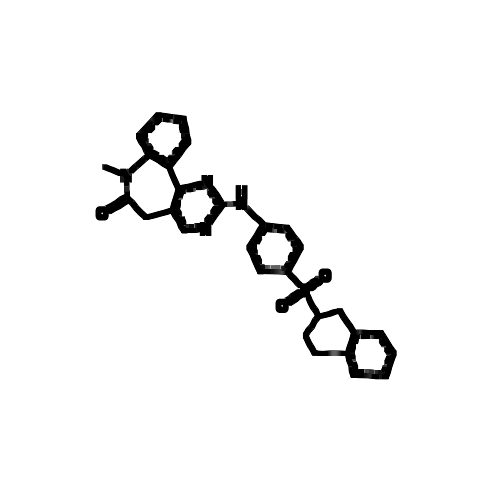 CN1C(=O)Cc2cnc(Nc3ccc(S(=O)(=O)C4CCc5ccccc5C4)cc3)nc2-c2ccccc21